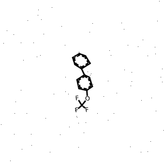 FC(F)(F)Oc1ccc(-c2cc[c]cc2)cc1